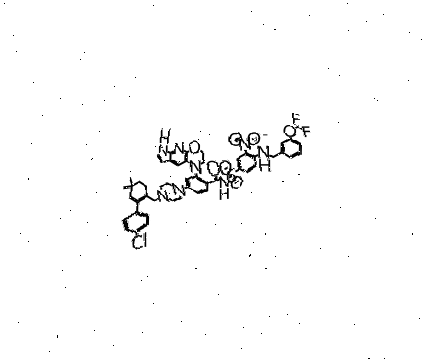 CC1(C)CCC(CN2CCN(c3ccc(C(=O)NS(=O)(=O)c4ccc(NCc5cccc(OC(F)F)c5)c([N+](=O)[O-])c4)c(N4CCOc5nc6[nH]ccc6cc54)c3)CC2)=C(c2ccc(Cl)cc2)C1